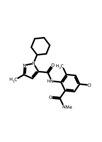 CNC(=O)c1cc(Cl)cc(C)c1NC(=O)c1cc(C)nn1C1CCCCC1